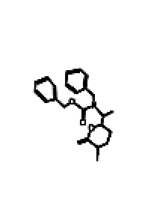 C=C1OC(C(C)N(Cc2ccccc2)C(=O)OCc2ccccc2)CCC1I